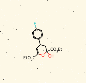 CCOC(=O)C1=CC(c2ccc(F)cc2)CC(O)(C(=O)OCC)O1